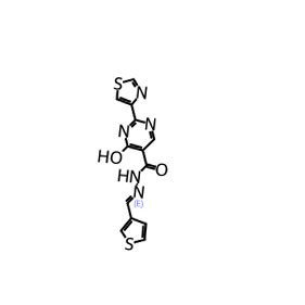 O=C(N/N=C/c1ccsc1)c1cnc(-c2cscn2)nc1O